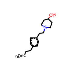 CCCCCCCCCCCCc1ccc(CCN2CCC(O)CC2)cc1